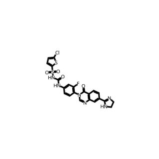 O=C(Nc1ccc(-n2cnc3cc(C4=NCCN4)ccc3c2=O)c(F)c1)NS(=O)(=O)c1ccc(Cl)s1